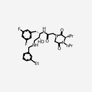 CCCN1C(=O)CN(CC(=O)N[C@@H](Cc2cc(F)cc(F)c2)[C@H](O)CNCc2cccc(CC)c2)C(=O)[C@H]1C(C)C